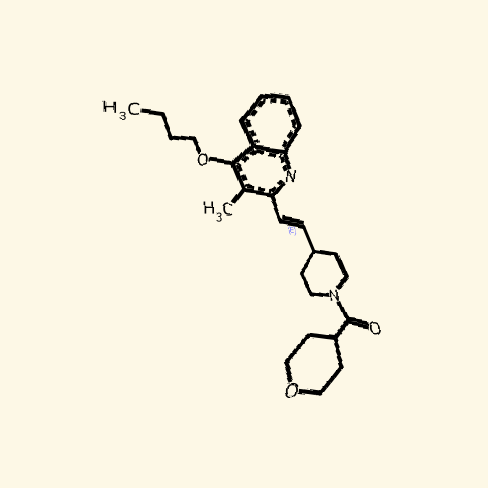 CCCCOc1c(C)c(/C=C/C2CCN(C(=O)C3CCOCC3)CC2)nc2ccccc12